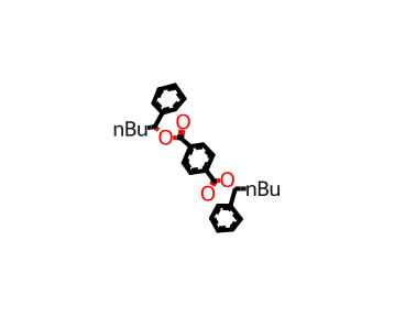 CCCCC(OC(=O)c1ccc(C(=O)OC(CCCC)c2ccccc2)cc1)c1ccccc1